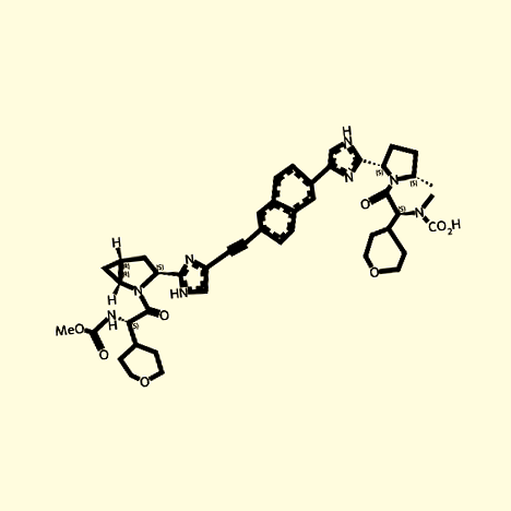 COC(=O)N[C@H](C(=O)N1[C@@H]2C[C@@H]2C[C@H]1c1nc(C#Cc2ccc3cc(-c4c[nH]c([C@@H]5CC[C@H](C)N5C(=O)[C@H](C5CCOCC5)N(C)C(=O)O)n4)ccc3c2)c[nH]1)C1CCOCC1